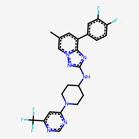 Cc1cc(-c2ccc(F)c(F)c2)c2nc(NC3CCN(c4cc(C(F)(F)F)ncn4)CC3)nn2c1